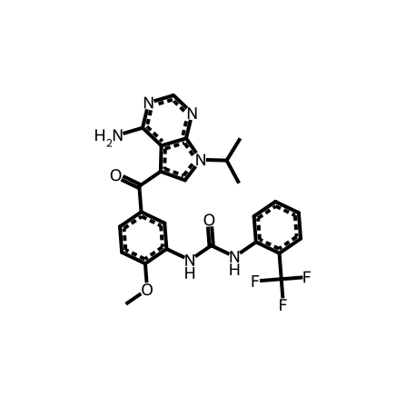 COc1ccc(C(=O)c2cn(C(C)C)c3ncnc(N)c23)cc1NC(=O)Nc1ccccc1C(F)(F)F